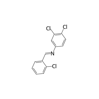 Clc1ccc(/N=C/c2ccccc2Cl)cc1Cl